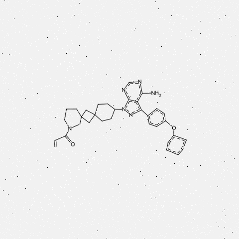 C=CC(=O)N1CCCC2(C1)CC1(CCC(n3nc(-c4ccc(Oc5ccccc5)cc4)c4c(N)ncnc43)CC1)C2